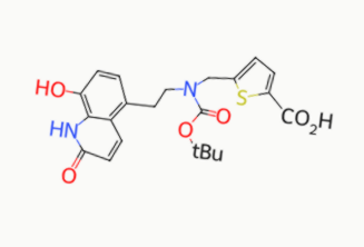 CC(C)(C)OC(=O)N(CCc1ccc(O)c2[nH]c(=O)ccc12)Cc1ccc(C(=O)O)s1